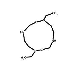 CCN1CCNCCN(CC)CCNCC1